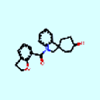 O=C1CCC(CNC(=O)c2cccc3c2OCC3)(c2ccccc2)CC1